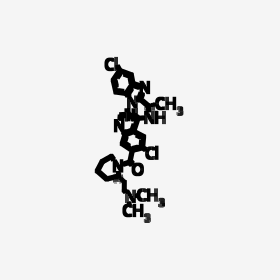 C[C@@H](Nc1ncnc2cc(C(=O)N3CCCC[C@@H]3CCN(C)C)c(Cl)cc12)c1nc2cc(Cl)ccc2[nH]1